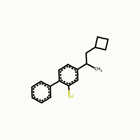 CC(CC1CCC1)c1ccc(-c2ccccc2)c(S)c1